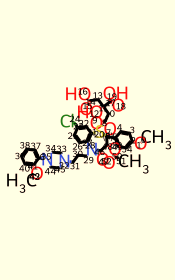 COc1ccc([C@@]2(OC(=O)CC(O)(CC(=O)O)C(=O)O)Sc3cc(Cl)ccc3N(CCCN3CCN(c4ccccc4OC)CC3)C(=O)C2OC(C)=O)cc1